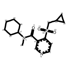 CN(C(=O)c1cnccc1S(=O)(=O)CC1CC1)C1CCCCC1